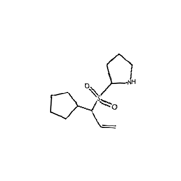 C=CC(C1CCCC1)S(=O)(=O)C1CCCN1